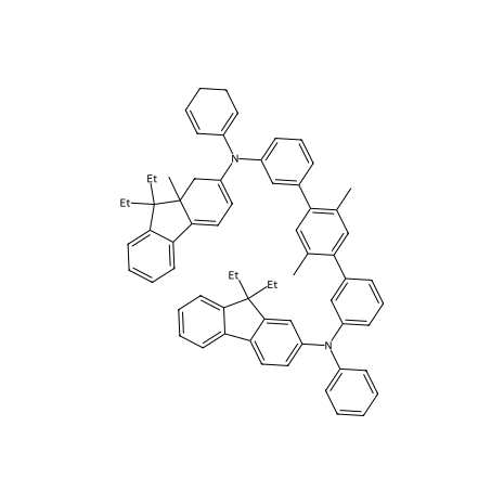 CCC1(CC)c2ccccc2-c2ccc(N(c3ccccc3)c3cccc(-c4cc(C)c(-c5cccc(N(C6=CCCC=C6)C6=CC=C7c8ccccc8C(CC)(CC)C7(C)C6)c5)cc4C)c3)cc21